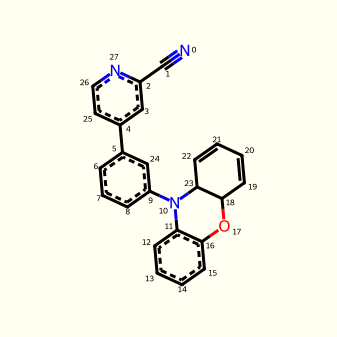 N#Cc1cc(-c2cccc(N3c4ccccc4OC4C=CC=CC43)c2)ccn1